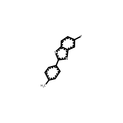 Cc1ccc(-c2nc3cc(F)ccc3s2)cc1